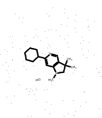 CN1CC(C)(C)c2cnc(C3CCCCC3)cc21.Cl